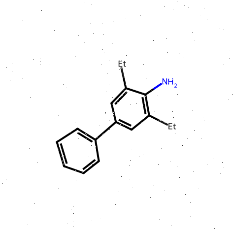 CCc1cc(-c2ccccc2)cc(CC)c1N